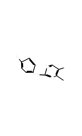 Cc1nc(Nc2ccc(N)cc2)ncc1C(F)(F)F